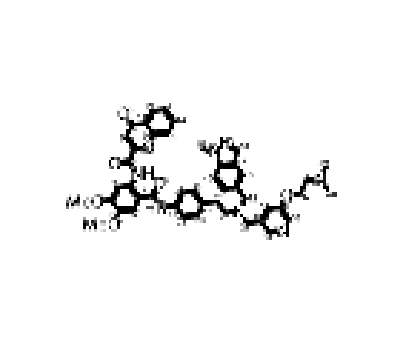 COc1cc(NC(=O)c2cc(=O)c3ccccc3o2)c(C(=O)Nc2ccc(CCN(Cc3cncc(OCCN(C)C)c3)Cc3ccc4c(cnn4C)c3)cc2)cc1OC